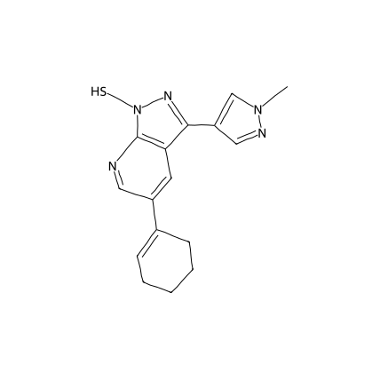 Cn1cc(-c2nn(S)c3ncc(C4=CCCCC4)cc23)cn1